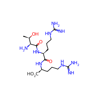 C[C@@H](O)[C@H](N)C(=O)N[C@@H](CCCNC(=N)N)C(=O)N[C@@H](CCCNC(=N)N)C(=O)O